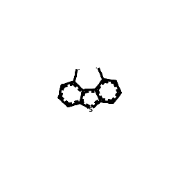 [CH2]c1cccc2sc3cccc([CH2])c3c12